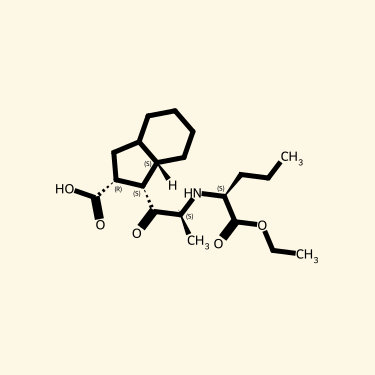 CCC[C@H](N[C@@H](C)C(=O)[C@@H]1[C@H](C(=O)O)CC2CCCC[C@@H]21)C(=O)OCC